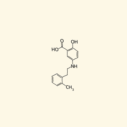 Cc1ccccc1CCNc1ccc(O)c(C(=O)O)c1